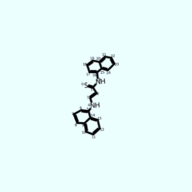 S=C(C=CNc1cccc2ccccc12)Nc1cccc2ccccc12